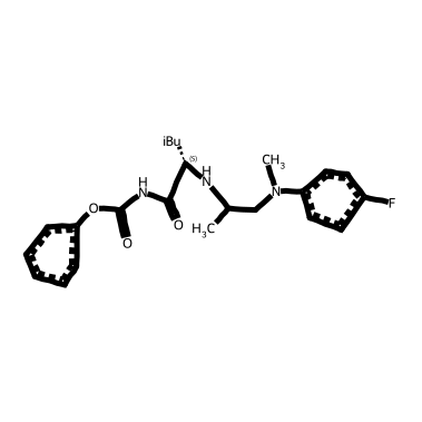 CCC(C)[C@H](NC(C)CN(C)c1ccc(F)cc1)C(=O)NC(=O)Oc1ccccc1